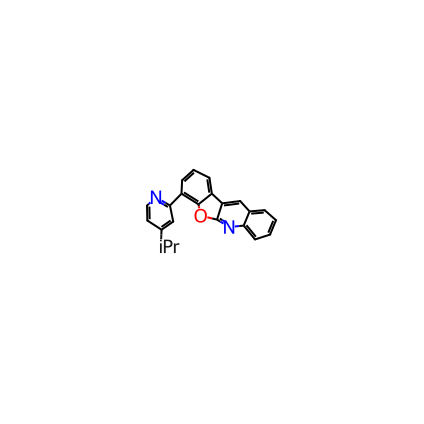 CC(C)c1ccnc(-c2cccc3c2oc2nc4ccccc4cc23)c1